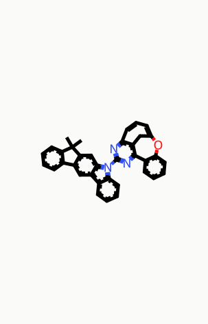 CC1(C)c2ccccc2-c2cc3c4ccccc4n(-c4nc5c6c(n4)-c4ccccc4OC(=CC=C5)C6)c3cc21